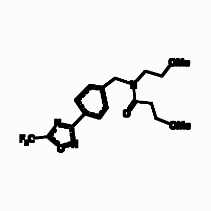 COCCC(=O)N(CCOC)Cc1ccc(-c2noc(C(F)(F)F)n2)cc1